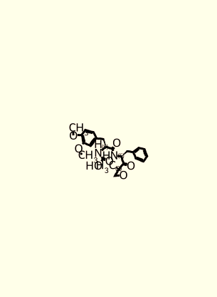 COc1ccc(C[C@H](NC(=O)O)C(=O)N[C@@H](Cc2ccccc2)C(=O)[C@@]2(C)CO2)cc1OC